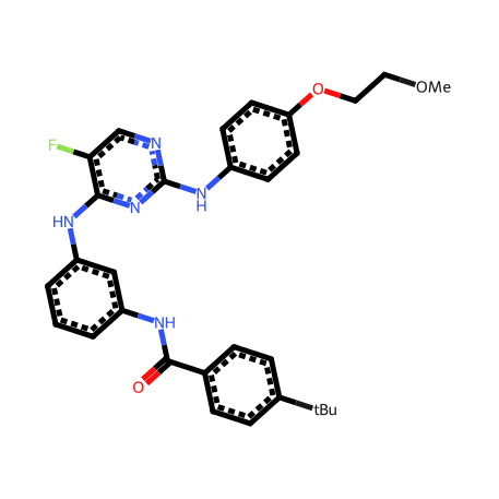 COCCOc1ccc(Nc2ncc(F)c(Nc3cccc(NC(=O)c4ccc(C(C)(C)C)cc4)c3)n2)cc1